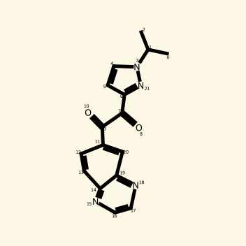 CC(C)n1ccc(C(=O)C(=O)c2ccc3nccnc3c2)n1